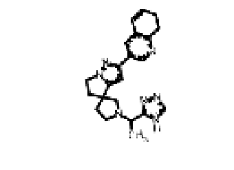 CC(c1nnc[nH]1)N1CCC2(CCn3nc(-c4cnc5c(c4)C=CCC5)cc32)C1